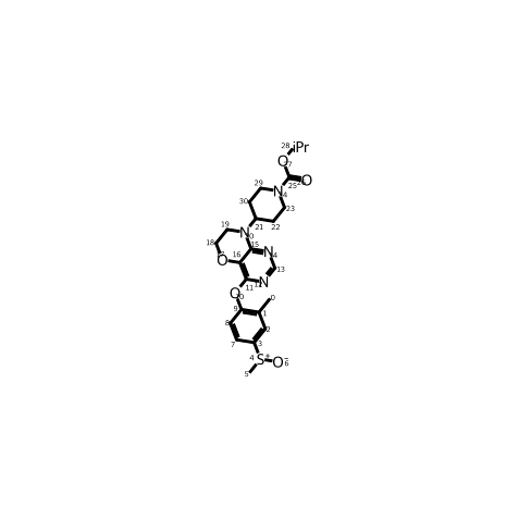 Cc1cc([S+](C)[O-])ccc1Oc1ncnc2c1OCCN2C1CCN(C(=O)OC(C)C)CC1